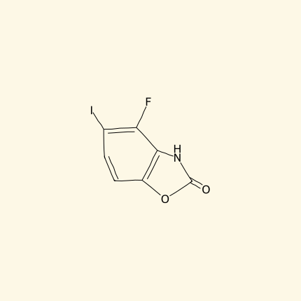 O=c1[nH]c2c(F)c(I)ccc2o1